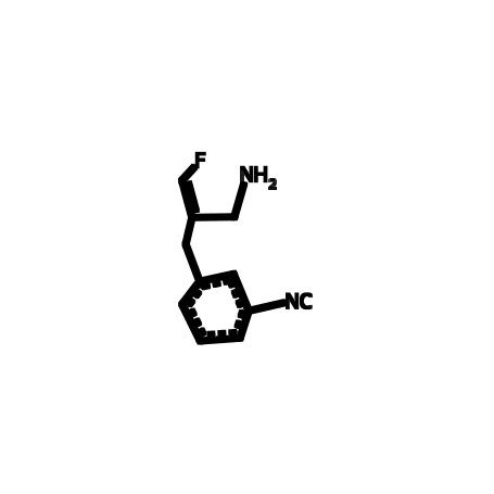 [C-]#[N+]c1cccc(CC(=CF)CN)c1